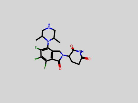 CC1CNCC(C)N1c1c(F)c(F)c(F)c2c1CN(C1CCC(=O)NC1=O)C2=O